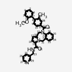 COc1ccccc1-c1ccc(C(=O)N2Cc3ccc(C(=O)NCc4cccnc4)n3Cc3ccccc32)cc1C